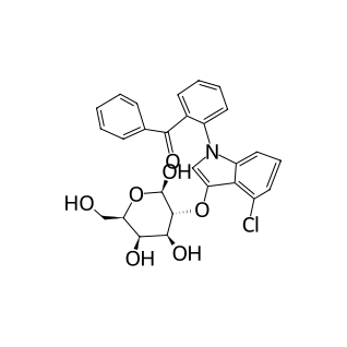 O=C(c1ccccc1)c1ccccc1-n1cc(O[C@@H]2[C@@H](O)[C@@H](O)[C@@H](CO)O[C@H]2O)c2c(Cl)cccc21